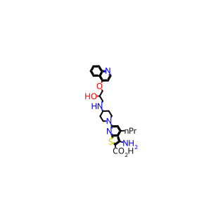 CCCc1cc(N2CCC(NCC(O)COc3ccnc4ccccc34)CC2)nc2sc(C(=O)O)c(N)c12